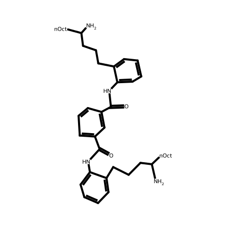 CCCCCCCCC(N)CCCc1ccccc1NC(=O)c1cccc(C(=O)Nc2ccccc2CCCC(N)CCCCCCCC)c1